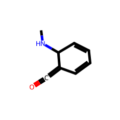 CNC1C=CC=CC1=C=O